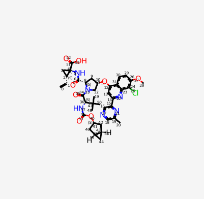 C=C[C@@H]1C[C@]1(NC(=O)[C@@H]1C[C@@H](Oc2cc(-c3cncc(C)n3)nc3c(Cl)c(OC)ccc23)CN1C(=O)[C@@H](NC(=O)O[C@H]1C[C@@H]2C[C@@H]2C1)C(C)(C)C)C(=O)O